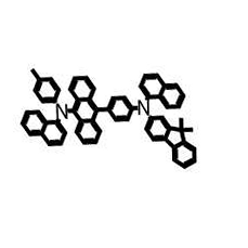 Cc1ccc(N(c2cccc3ccccc23)c2c3ccccc3c(-c3ccc(N(c4ccc5c(c4)C(C)(C)c4ccccc4-5)c4cccc5ccccc45)cc3)c3ccccc23)cc1